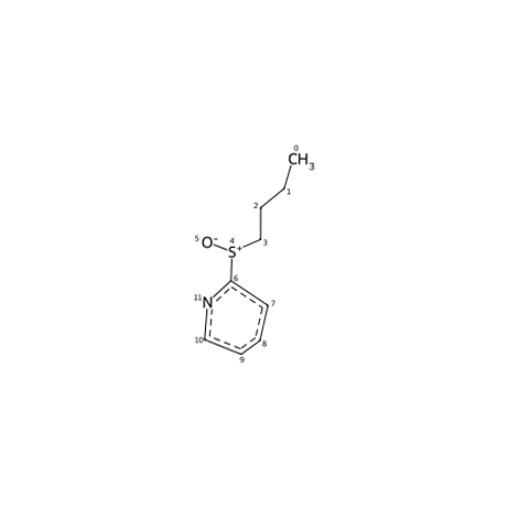 CCCC[S+]([O-])c1ccccn1